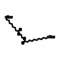 CCCCCCCCCCCCCCCCCCCC(=O)OCCOC(=O)CCCCCCCCCCCCCCCCC